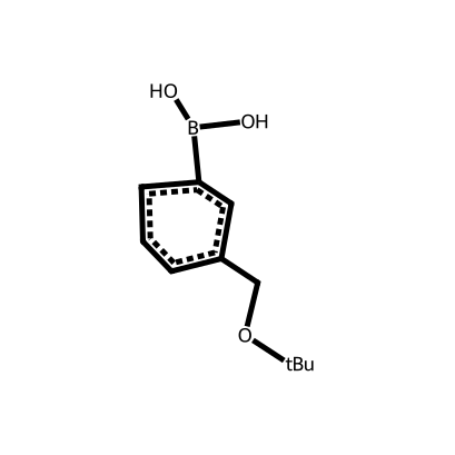 CC(C)(C)OCc1cccc(B(O)O)c1